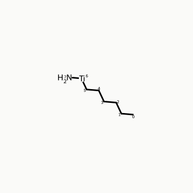 CCCCC[CH2][Ti][NH2]